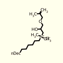 C=C(C)COCC(O)C[N+](C)(C)CCCCCCCCCCCCCCCC.[Cl-]